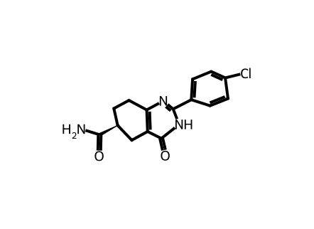 NC(=O)[C@H]1CCc2nc(-c3ccc(Cl)cc3)[nH]c(=O)c2C1